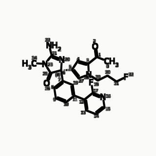 CC(=O)c1cc([C@@]2(c3cccc(-c4cccnc4F)c3)N=C(N)N(C)C2=O)cn1CCCF